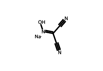 N#CC(C#N)=NO.[Na]